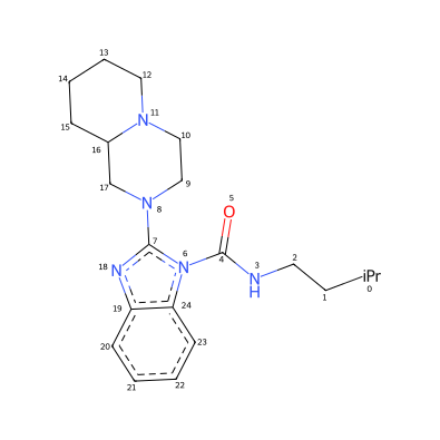 CC(C)CCNC(=O)n1c(N2CCN3CCCCC3C2)nc2ccccc21